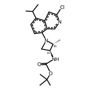 CC(C)c1ccc(N2C[C@H](NC(=O)OC(C)(C)C)[C@H]2C)c2cnc(Cl)cc12